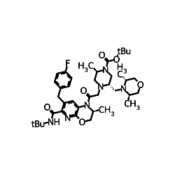 C[C@@H]1CN(CC(=O)N2c3cc(Cc4ccc(F)cc4)c(C(=O)NC(C)(C)C)nc3OC[C@@H]2C)[C@@H](CN2[C@H](C)COC[C@H]2C)CN1C(=O)OC(C)(C)C